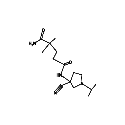 CC(C)N1CCC(C#N)(NC(=O)[CH]CC(C)(C)C(N)=O)C1